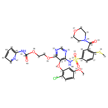 COc1ccc(Cl)c(Oc2c(NS(=O)(=O)c3ccc(SC)c(C(=O)N4CCOCC4)c3)ncnc2OCCOC(=O)Nc2ccccn2)c1